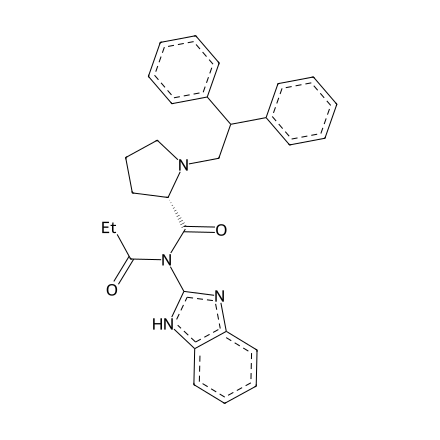 CCC(=O)N(C(=O)[C@@H]1CCCN1CC(c1ccccc1)c1ccccc1)c1nc2ccccc2[nH]1